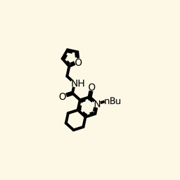 CCCCn1cc2c(c(C(=O)NCc3ccco3)c1=O)CCCC2